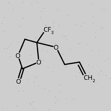 C=CCOC1(C(F)(F)F)COC(=O)O1